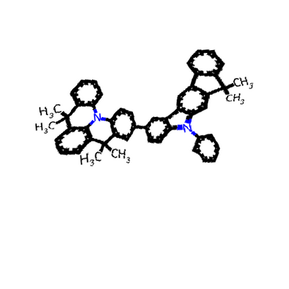 CC1(C)c2ccccc2-c2cc3c4cc(-c5ccc6c(c5)C(C)(C)c5cccc7c5N6c5ccccc5C7(C)C)ccc4n(-c4ccccc4)c3cc21